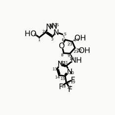 OCc1cn(C[C@H]2OC[C@H](Nc3nccc(C(F)(F)F)n3)[C@@H](O)[C@H]2O)nn1